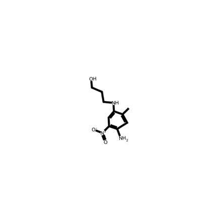 Cc1cc(N)c([N+](=O)[O-])cc1NCCCO